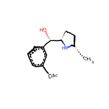 CC(=O)Oc1cccc([C@H](O)[C@@H]2CC[C@H](C)N2)c1